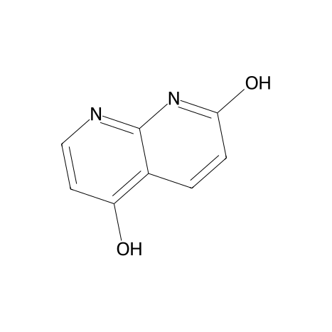 Oc1ccc2c(O)ccnc2n1